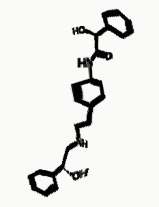 O=C(Nc1ccc(CCNC[C@H](O)c2ccccc2)cc1)[C@@H](O)c1ccccc1